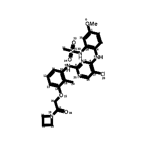 COc1ccc(Nc2nc(Nc3cccc(OCC(=O)N4CCC4)c3C)ncc2Cl)c(NS(C)(=O)=O)c1